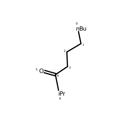 CCCCCCCC(=O)C(C)C